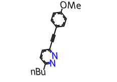 CCCCc1ccc(C#Cc2ccc(OC)cc2)nn1